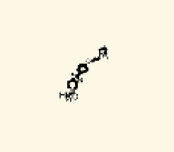 CCNC(=O)N1CCc2sc(-c3ccc(OCCCN4CCC[C@H]4C)cc3)nc2C1